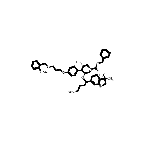 COCCCC(O[C@H]1CN(C(=O)OCc2ccccc2)C[C@@H](O)[C@@H]1c1ccc(OCCCOCc2ccccc2OC)cc1)c1ccc2c(c1)NCC2(C)C